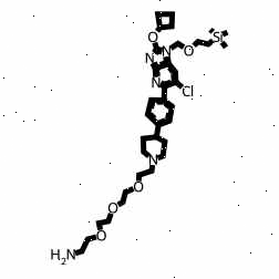 C[Si](C)(C)CCOCn1c(OC2CCC2)nc2nc(-c3ccc(C4CCN(CCOCCOCCOCCN)CC4)cc3)c(Cl)cc21